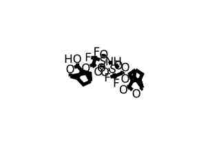 O=C1OC2C3CC(CC13)C2OC(=O)C(F)(F)S(=O)(=O)NS(=O)(=O)C(F)(F)C(=O)OC1C2CC3C(O)OC1C3C2